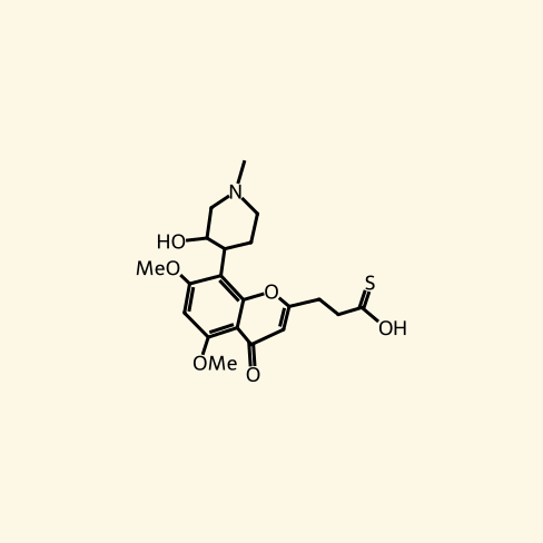 COc1cc(OC)c2c(=O)cc(CCC(O)=S)oc2c1C1CCN(C)CC1O